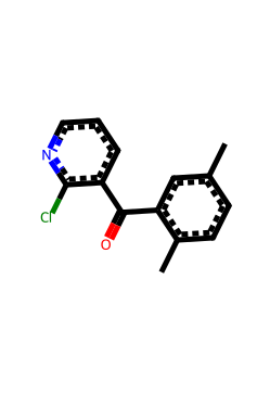 Cc1ccc(C)c(C(=O)c2cccnc2Cl)c1